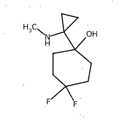 CNC1(C2(O)CCC(F)(F)CC2)CC1